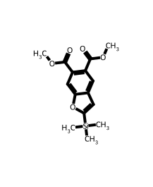 COC(=O)c1cc2cc([Si](C)(C)C)oc2cc1C(=O)OC